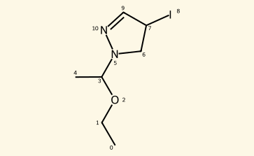 CCOC(C)N1CC(I)C=N1